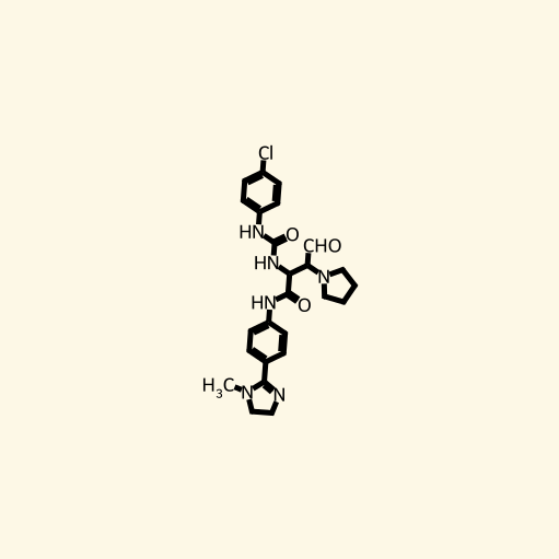 CN1CCN=C1c1ccc(NC(=O)C(NC(=O)Nc2ccc(Cl)cc2)C(C=O)N2CCCC2)cc1